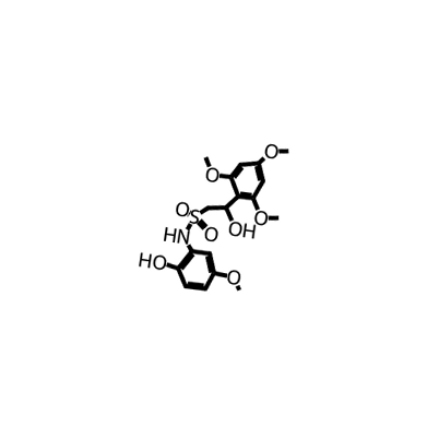 COc1ccc(O)c(NS(=O)(=O)CC(O)c2c(OC)cc(OC)cc2OC)c1